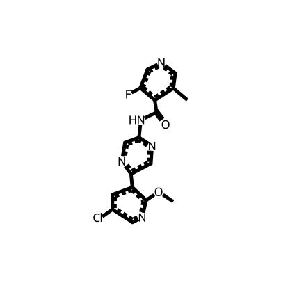 COc1ncc(Cl)cc1-c1cnc(NC(=O)c2c(C)cncc2F)cn1